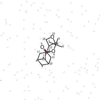 CC(C)(C)OC(=O)N1C2CC1CN(C1COC1)C2